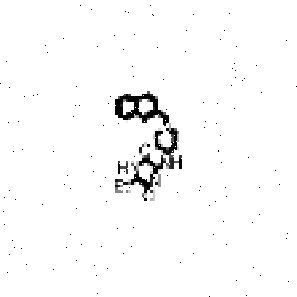 CCc1[nH]c(=O)c(NC2CCN(Cc3ccc4ccccc4c3)CC2)nc1Cl